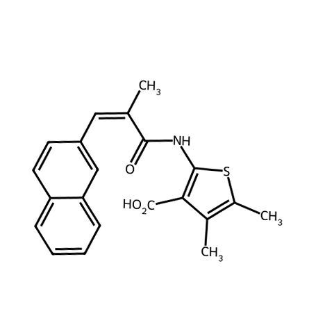 CC(=Cc1ccc2ccccc2c1)C(=O)Nc1sc(C)c(C)c1C(=O)O